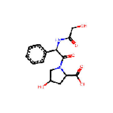 O=C(CO)N[C@@H](C(=O)N1CC(O)CC1C(=O)O)c1ccccc1